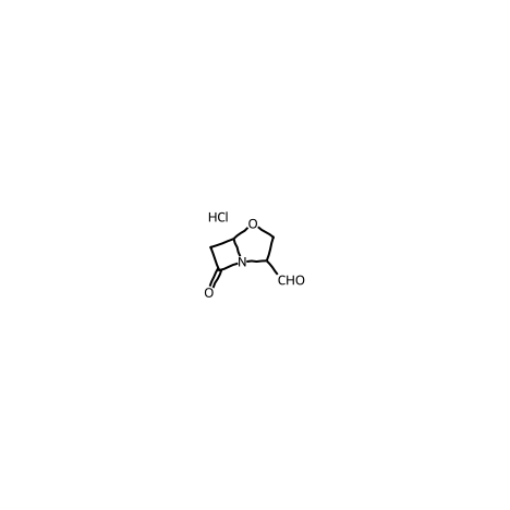 Cl.O=CC1COC2CC(=O)N12